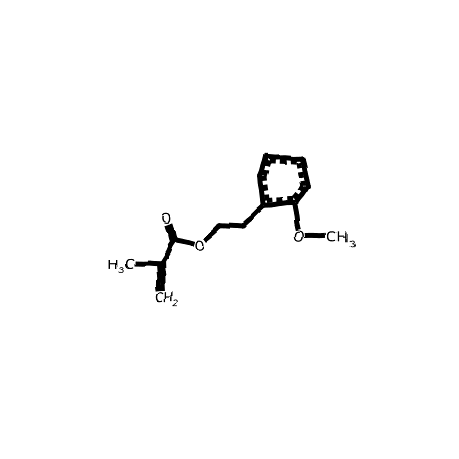 C=C(C)C(=O)OCCc1ccccc1OC